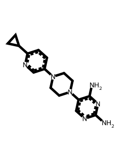 Nc1ncc(N2CCN(c3ccc(C4CC4)nc3)CC2)c(N)n1